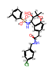 Cc1cccc(S(=O)(=O)NC2c3cc(CC(=O)NCc4ccc(Cl)cc4)ccc3OC(C)(C)C2O)c1